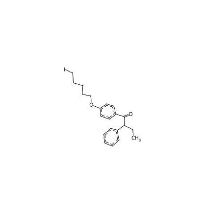 CCC(C(=O)c1ccc(OCCCCCI)cc1)c1ccccc1